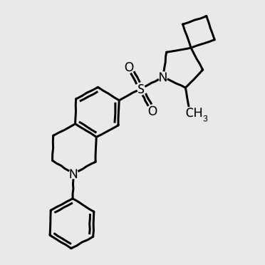 CC1CC2(CCC2)CN1S(=O)(=O)c1ccc2c(c1)CN(c1ccccc1)CC2